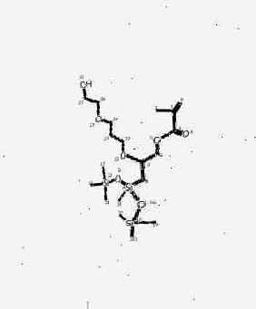 C=C(C)C(=O)OCC(C[Si](C)(O[Si](C)(C)C)O[Si](C)(C)C)OCCCOCCO